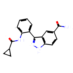 NC(=O)c1ccc2[nH]nc(-c3ccccc3NC(=O)C3CC3)c2c1